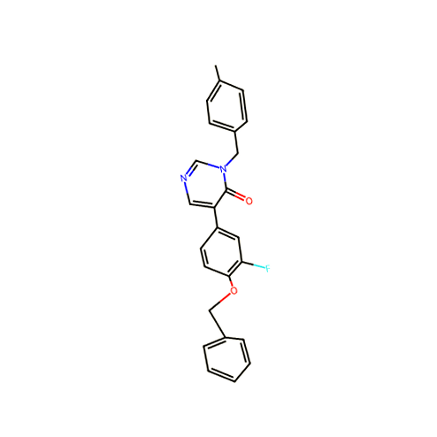 Cc1ccc(Cn2cncc(-c3ccc(OCc4ccccc4)c(F)c3)c2=O)cc1